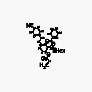 C=CC(=O)Oc1ccc(CCc2ccc(C#N)cc2)c(OC(=O)c2ccccc2)c1OCCCCCC